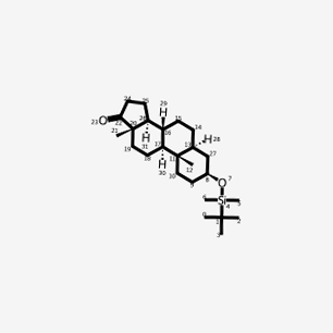 CC(C)(C)[Si](C)(C)O[C@H]1CC[C@@]2(C)[C@@H](CC[C@@H]3[C@@H]2CC[C@]2(C)C(=O)CC[C@@H]32)C1